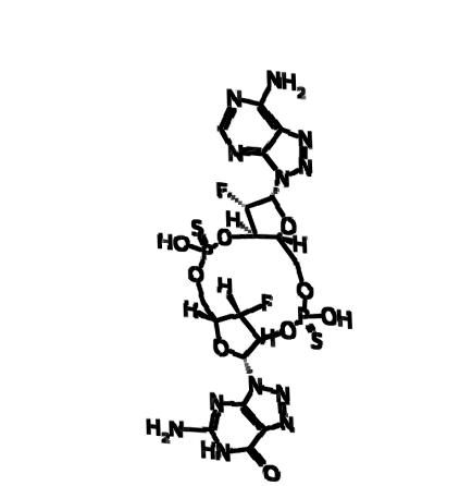 Nc1nc2c(nnn2[C@@H]2O[C@@H]3COP(O)(=S)O[C@H]4[C@H](F)[C@H](n5nnc6c(N)ncnc65)O[C@@H]4COP(O)(=S)O[C@@H]2[C@H]3F)c(=O)[nH]1